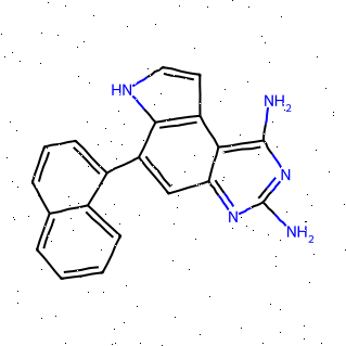 Nc1nc(N)c2c(cc(-c3cccc4ccccc34)c3[nH]ccc32)n1